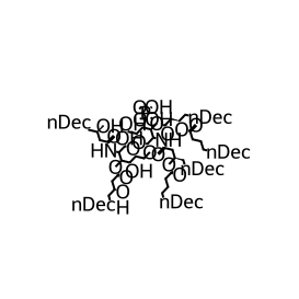 CCCCCCCCCCCCCC(=O)O[C@H](CCCCCCCCCCC)CC(=O)NC1C(OCC2OC(O)C(NC(=O)C[C@H](O)CCCCCCCCCCC)C(OC(=O)C[C@H](O)CCCCCCCCCCC)C2O)OC(CO)C(OP(=O)(O)O)C1OC(=O)C[C@@H](CCCCCCCCCCC)OC(=O)CCCCCCCCCCCCC